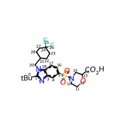 CC(C)(C)c1nc2cc(S(=O)(=O)N3CCOC(C(=O)O)C3)ccc2n1CC1CCC(F)(F)CC1